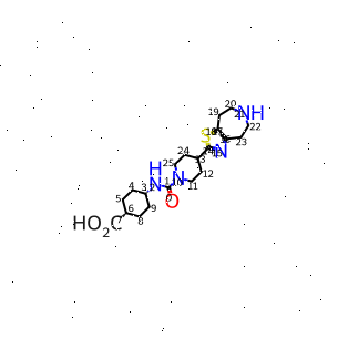 O=C(N[C@H]1CC[C@H](C(=O)O)CC1)N1CCC(c2nc3c(s2)CCNCC3)CC1